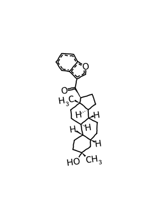 C[C@@]1(O)CC[C@H]2[C@H](CC[C@@H]3[C@@H]2CC[C@]2(C)[C@@H](C(=O)c4coc5ccccc45)CC[C@@H]32)C1